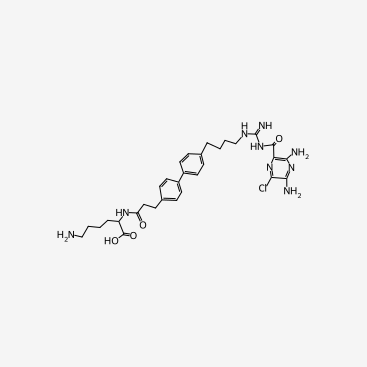 N=C(NCCCCc1ccc(-c2ccc(CCC(=O)NC(CCCCN)C(=O)O)cc2)cc1)NC(=O)c1nc(Cl)c(N)nc1N